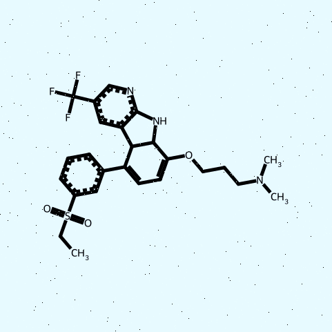 CCS(=O)(=O)c1cccc(C2=CC=C(OCCCN(C)C)C3Nc4ncc(C(F)(F)F)cc4C23)c1